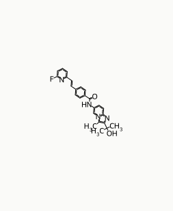 Cc1c(C(C)(C)O)nc2ccc(NC(=O)c3ccc(C=Cc4cccc(F)n4)cc3)cn12